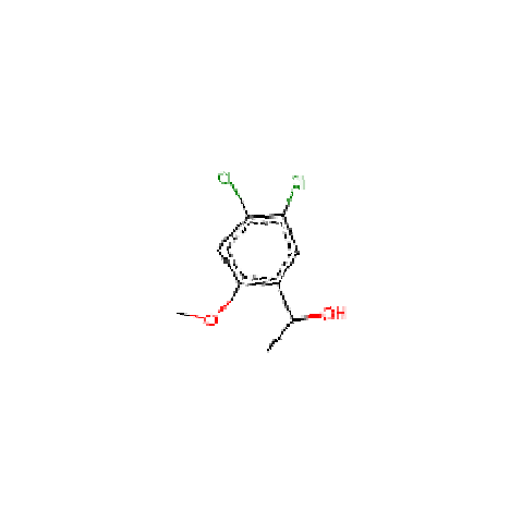 COc1cc(Cl)c(Cl)cc1C(C)O